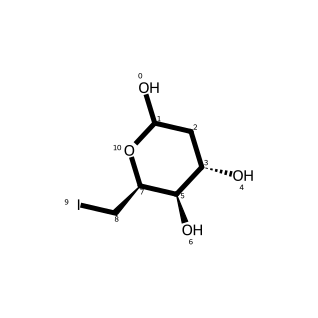 OC1C[C@H](O)[C@@H](O)[C@@H](CI)O1